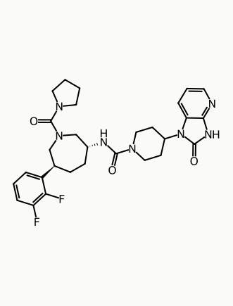 O=C(N[C@@H]1CC[C@@H](c2cccc(F)c2F)CN(C(=O)N2CCCC2)C1)N1CCC(n2c(=O)[nH]c3ncccc32)CC1